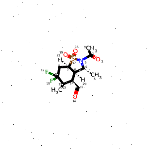 CC(=O)N1[C@H](C)[C@@H]2[C@@H](CC(F)(F)C(C)[C@@H]2C=O)S1(=O)=O